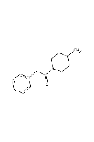 [CH2]C1CCN(C(=O)Cc2ccccc2)CC1